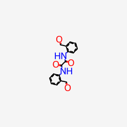 O=Cc1ccccc1NC(=O)C(=O)Nc1ccccc1C=O